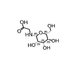 O=C(O)CN[C@@H]1O[C@H](CO)[C@@H](O)[C@H](O)[C@@H]1O